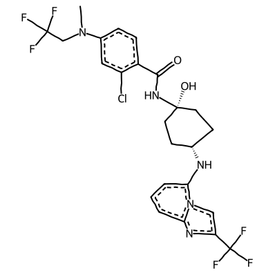 CN(CC(F)(F)F)c1ccc(C(=O)N[C@]2(O)CC[C@@H](Nc3cccc4nc(C(F)(F)F)cn34)CC2)c(Cl)c1